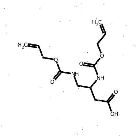 C=CCOC(=O)NCC(CC(=O)O)NC(=O)OCC=C